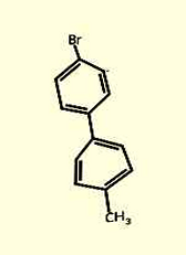 Cc1ccc(-c2c[c]c(Br)cc2)cc1